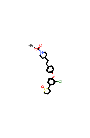 CC(C)(C)OC(=O)N1CCC(CCc2ccc(Oc3ccc(C4CCC[S+]4[O-])cc3Cl)cc2)CC1